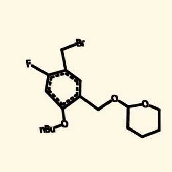 CCCCOc1cc(F)c(CBr)cc1COC1CCCCO1